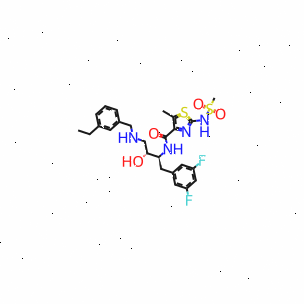 CCc1cccc(CNC[C@@H](O)[C@H](Cc2cc(F)cc(F)c2)NC(=O)c2nc(NS(C)(=O)=O)sc2C)c1